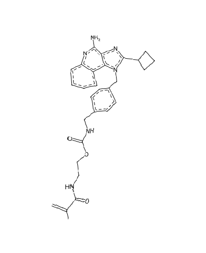 C=C(C)C(=O)NCCOC(=O)NCc1ccc(Cn2c(C3CCC3)nc3c(N)nc4ccccc4c32)cc1